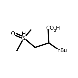 CCCCC(C[SH](C)(C)=O)C(=O)O